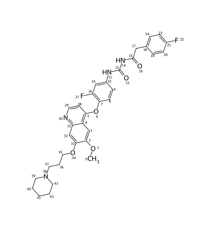 COc1cc2c(Oc3ccc(NC(=O)NC(=O)Cc4ccc(F)cc4)cc3F)ccnc2cc1OCCCN1CCCCC1